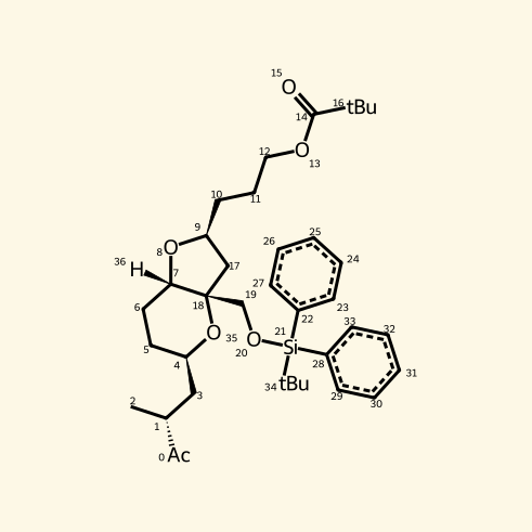 CC(=O)[C@H](C)C[C@H]1CC[C@@H]2O[C@@H](CCCOC(=O)C(C)(C)C)C[C@]2(CO[Si](c2ccccc2)(c2ccccc2)C(C)(C)C)O1